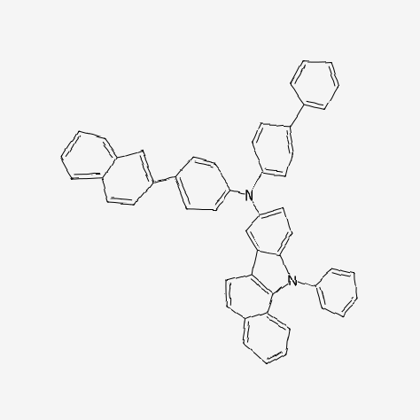 c1ccc(-c2ccc(N(c3ccc(-c4ccc5ccccc5c4)cc3)c3ccc4c(c3)c3ccc5ccccc5c3n4-c3ccccc3)cc2)cc1